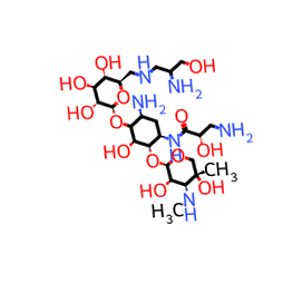 CN[C@@H]1[C@@H](O)[C@@H](O[C@H]2[C@H](NC(=O)[C@@H](O)CN)C[C@H](N)C(O[C@H]3O[C@H](CNCC(N)CO)[C@@H](O)[C@H](O)[C@H]3O)[C@@H]2O)OC[C@]1(C)O